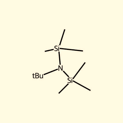 CC(C)(C)N([Si](C)(C)C)[Si](C)(C)C